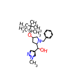 Cn1cc(C(O)C2CC(O[Si](C)(C)C(C)(C)C)CN2Cc2ccccc2)cn1